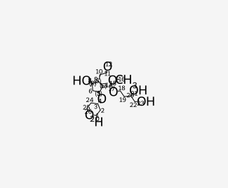 [2H]C1CC(O[C@H]2C[C@@H](O)[C@@H](CC=O)[C@@H]2C(OC)OCCC(O)CO)CCO1